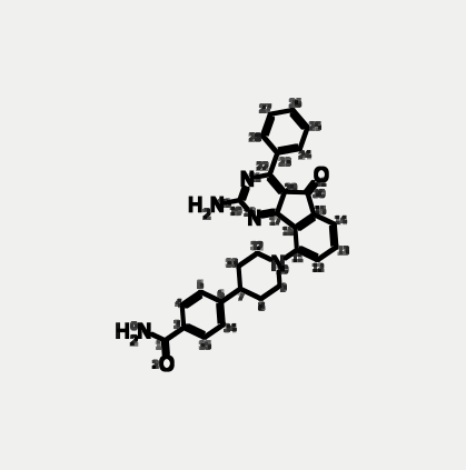 NC(=O)c1ccc(C2CCN(c3cccc4c3-c3nc(N)nc(-c5ccccc5)c3C4=O)CC2)cc1